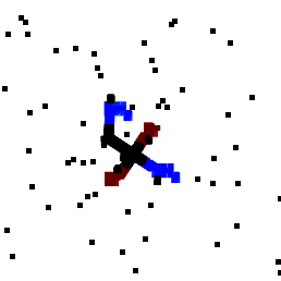 NCC(N)(Br)Br